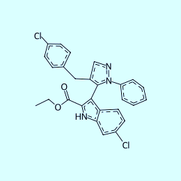 CCOC(=O)c1[nH]c2cc(Cl)ccc2c1-c1c(Cc2ccc(Cl)cc2)cnn1-c1ccccc1